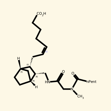 CCCCCC(=O)N(C)CC(=O)NC[C@@H]1[C@@H]2CC[C@@H](C2)[C@@H]1C/C=C\CCCC(=O)O